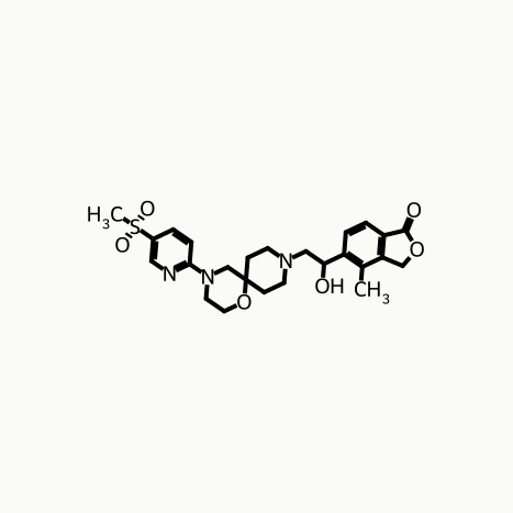 Cc1c(C(O)CN2CCC3(CC2)CN(c2ccc(S(C)(=O)=O)cn2)CCO3)ccc2c1COC2=O